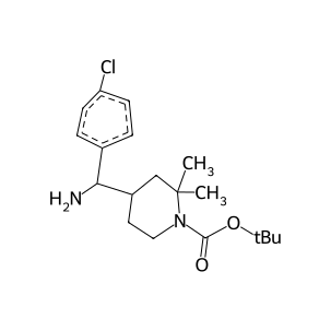 CC(C)(C)OC(=O)N1CCC(C(N)c2ccc(Cl)cc2)CC1(C)C